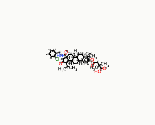 CC(C)C1=C2[C@H]3CC[C@@H]4[C@@]5(C)CC[C@H](OC(=O)CC(C)(C)C(=O)O)C(C)(C)[C@@H]5CC[C@@]4(C)[C@]3(C)CC[C@@]2(C(=O)NCc2ccccc2Cl)CC1=O